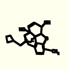 Cc1ccc2c3c1OC1C(O)C=CC4(O)C(C2)N(CC2CCC2)CCC314